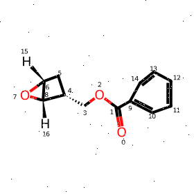 O=C(OC[C@H]1C[C@H]2O[C@@H]12)c1ccccc1